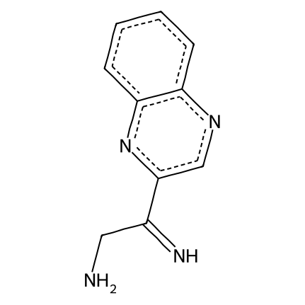 N=C(CN)c1cnc2ccccc2n1